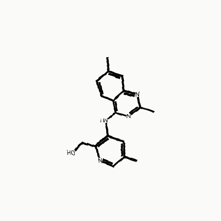 Cc1cnc(CO)c(Nc2nc(C)nc3cc(C)ccc23)c1